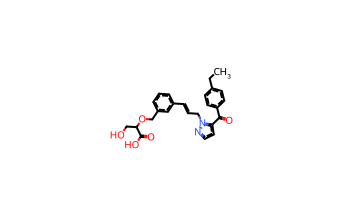 CCc1ccc(C(=O)c2ccnn2C/C=C/c2cccc(COC(CO)C(=O)O)c2)cc1